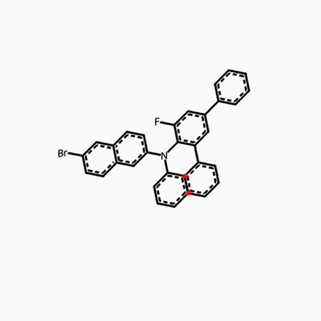 Fc1cc(-c2ccccc2)cc(-c2ccccc2)c1N(c1ccccc1)c1ccc2cc(Br)ccc2c1